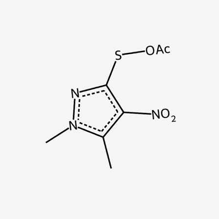 CC(=O)OSc1nn(C)c(C)c1[N+](=O)[O-]